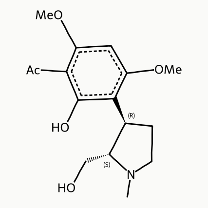 COc1cc(OC)c([C@H]2CCN(C)[C@@H]2CO)c(O)c1C(C)=O